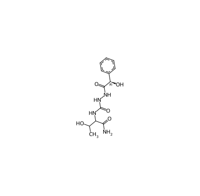 CC(O)C(NC(=O)NNC(=O)[C@H](O)c1ccccc1)C(N)=O